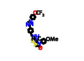 COc1ccc(N2C(=O)CS/C2=N\C(=S)NCc2ccc(-c3ncn(-c4ccc(OC(F)(F)F)cc4)n3)cc2)c(C)c1